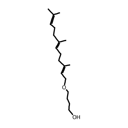 CC(C)=CCC/C(C)=C/CC/C(C)=C/COCCCCO